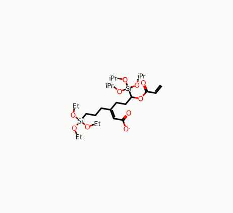 C=CC(=O)OC(CCC(=CC([O])=O)CCC[Si](OCC)(OCC)OCC)[Si](OC(C)C)(OC(C)C)OC(C)C